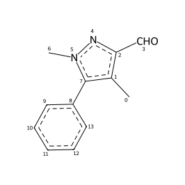 Cc1c(C=O)nn(C)c1-c1ccccc1